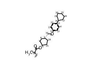 C[C@H](F)C(=O)O[C@H]1CC[C@H](COc2ccc(C3CC[CH]CC3)cc2)CC1